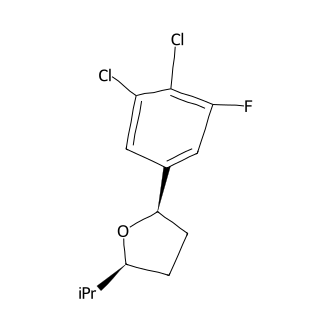 CC(C)[C@@H]1CC[C@H](c2cc(F)c(Cl)c(Cl)c2)O1